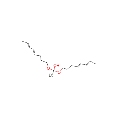 CC=CC=CCCCOC(O)(CC)OCCCC=CC=CC